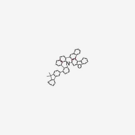 CC1(C)c2ccccc2-c2cc(-c3cccc(N(c4ccc5c(c4)oc4ccccc45)c4ccccc4-c4ccc5ccccc5c4)c3-c3ccccc3)ccc21